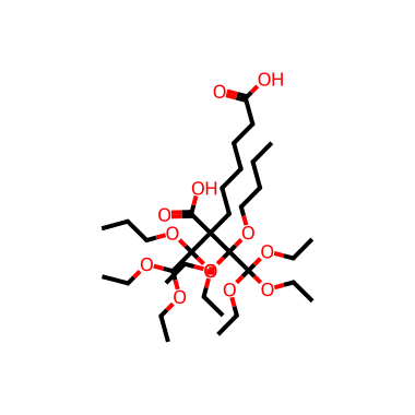 CCCCOC(OCC)(C(OCC)(OCC)OCC)C(CCCCCC(=O)O)(C(=O)O)C(OCC)(OCCC)C(OCC)OCC